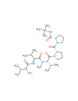 CC(C)C(N)C(=O)N[C@H](C(=O)N(C)[C@H](C(=O)N1CCC[C@H]1C(=O)N1CCC[C@H]1C(=O)NC(C)(C)C)C(C)C)C(C)C